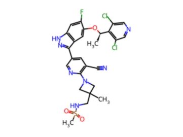 C[C@@H](Oc1cc2c(-c3cnc(N4CC(C)(CNS(C)(=O)=O)C4)c(C#N)c3)n[nH]c2cc1F)c1c(Cl)cncc1Cl